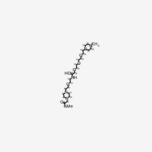 CNC(=O)CN1CCN(CCOCCNC(O)COCCOCCOCCN2CCN(C)CC2)CC1